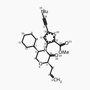 C=CC[C@H]1OC[C@@H](C2CCCCC2)N(c2cc(C#CC(C)(C)C)sc2C(=O)OC)C1=O